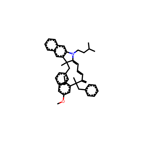 C=C(/C=C/C=C1/N(CCC(C)C)c2cc3ccccc3cc2C1(C)Cc1ccccc1)C(C)(Cc1ccccc1)c1cc(OC)ccc1C